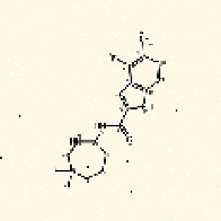 C[Si]1(C)CCCC(NC(=O)c2cc3c(F)c(C(F)(F)F)ncc3[nH]2)NC1